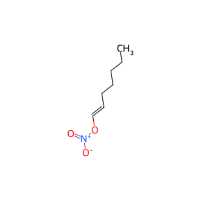 CCCCCC=CO[N+](=O)[O-]